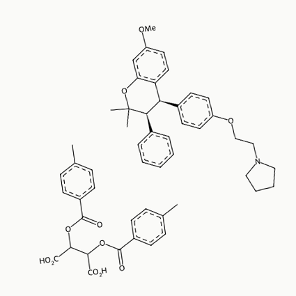 COc1ccc2c(c1)OC(C)(C)[C@H](c1ccccc1)[C@@H]2c1ccc(OCCN2CCCC2)cc1.Cc1ccc(C(=O)OC(C(=O)O)C(OC(=O)c2ccc(C)cc2)C(=O)O)cc1